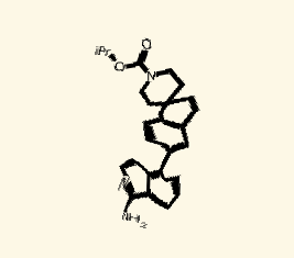 CC(C)OC(=O)N1CCC2(CCc3cc(-c4cccc5c(N)nccc45)ccc32)CC1